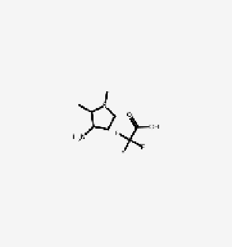 CC1C(N)CCN1C.O=C(O)C(F)(F)F